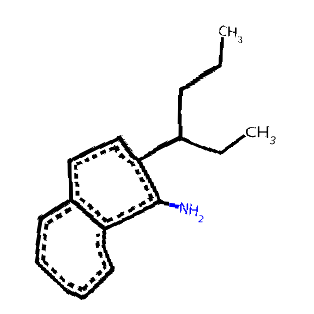 CCCC(CC)c1ccc2ccccc2c1N